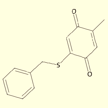 CC1=CC(=O)C(SCc2ccccc2)=CC1=O